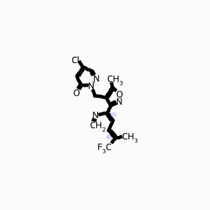 C=N/C(=C\C=C(/C)C(F)(F)F)c1noc(C)c1Cn1ncc(Cl)cc1=O